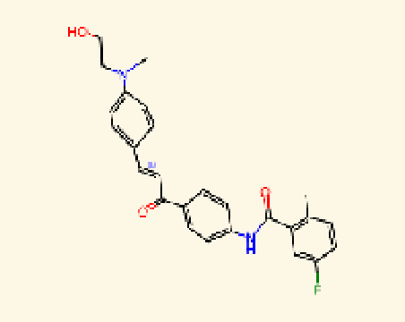 Cc1ccc(F)cc1C(=O)Nc1ccc(C(=O)/C=C/c2ccc(N(C)CCO)cc2)cc1